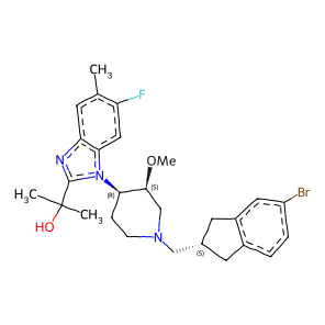 CO[C@H]1CN(C[C@H]2Cc3ccc(Br)cc3C2)CC[C@H]1n1c(C(C)(C)O)nc2cc(C)c(F)cc21